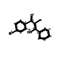 CC(C(=O)c1ccc(Br)cc1)=C(O)c1ccccc1